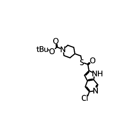 CC(C)(C)OC(=O)N1CCC(CSC(=O)c2cc3cc(Cl)ncc3[nH]2)CC1